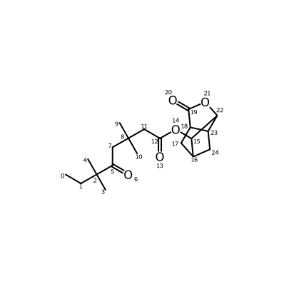 CCC(C)(C)C(=O)CC(C)(C)CC(=O)OC1C2CC3C(=O)OC1C3C2